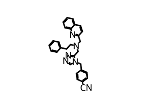 N#Cc1ccc(Cn2cnnc2CN(CCc2ccccc2)Cc2ccc3ccccc3n2)cc1